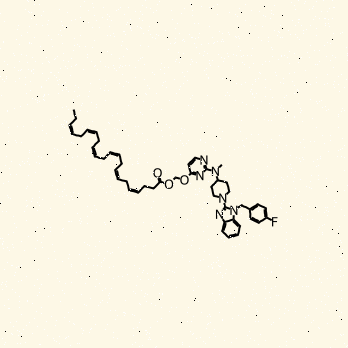 CC/C=C\C/C=C\C/C=C\C/C=C\C/C=C\C/C=C\CCC(=O)OCOc1ccnc(N(C)C2CCN(c3nc4ccccc4n3Cc3ccc(F)cc3)CC2)n1